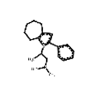 CC(CN(C)C)n1c(-c2ccccc2)cc2c1CCCCC2